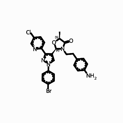 C[C@@H]1O[C@H](c2cn(-c3ccc(Br)cc3)nc2-c2ccc(Cl)cn2)N(CCc2ccc(N)cc2)C1=O